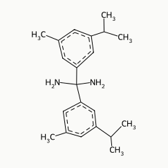 Cc1cc(C(C)C)cc(C(N)(N)c2cc(C)cc(C(C)C)c2)c1